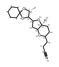 C[C@H]1OC2(CCCCC2)OC1C1CC2OC(CCC#N)CC[C@@H]2O1